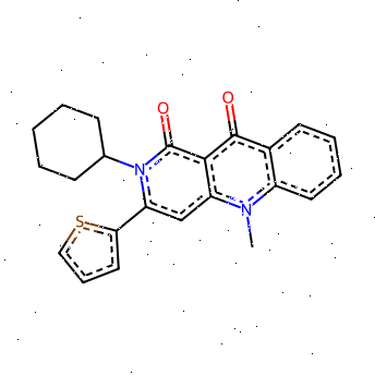 Cn1c2ccccc2c(=O)c2c(=O)n(C3CCCCC3)c(-c3cccs3)cc21